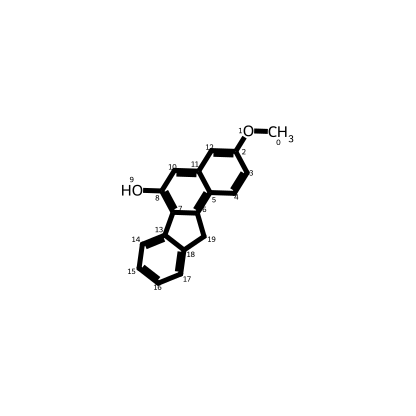 COc1ccc2c3c(c(O)cc2c1)-c1ccccc1C3